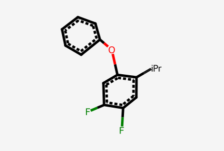 CC(C)c1cc(F)c(F)cc1Oc1ccccc1